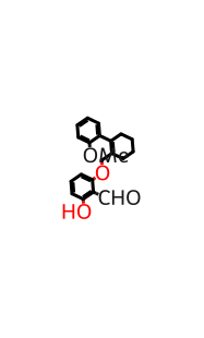 COc1ccccc1C1=C(COc2cccc(O)c2C=O)CCCC1